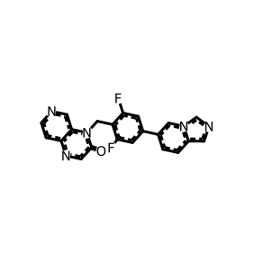 O=c1cnc2ccncc2n1Cc1c(F)cc(-c2ccc3cncn3c2)cc1F